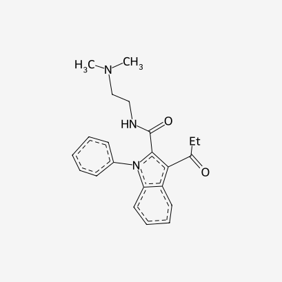 CCC(=O)c1c(C(=O)NCCN(C)C)n(-c2ccccc2)c2ccccc12